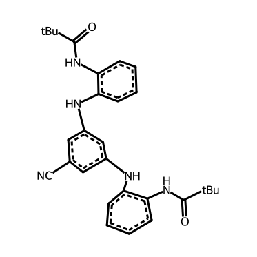 CC(C)(C)C(=O)Nc1ccccc1Nc1cc(C#N)cc(Nc2ccccc2NC(=O)C(C)(C)C)c1